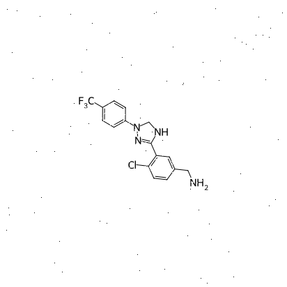 NCc1ccc(Cl)c(C2=NN(c3ccc(C(F)(F)F)cc3)CN2)c1